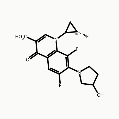 O=C(O)c1cn(C2C[C@@H]2F)c2c(F)c(N3CCC(O)C3)c(F)cc2c1=O